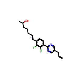 C=CCc1cnc(-c2ccc(/C=C/CCCC(C)O)c(F)c2F)nc1